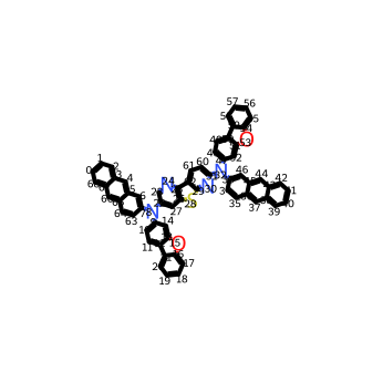 c1ccc2cc3cc(N(c4ccc5c(c4)oc4ccccc45)c4cnc5c(c4)sc4nc(N(c6ccc7cc8ccccc8cc7c6)c6ccc7c(c6)oc6ccccc67)ccc45)ccc3cc2c1